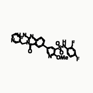 COc1ncc(-c2ccc3nc(N)n(Cc4cccnc4)c(=O)c3c2)cc1S(=O)(=O)Nc1ccc(F)cc1F